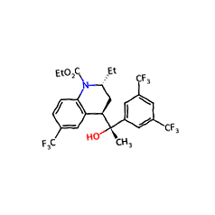 CCOC(=O)N1c2ccc(C(F)(F)F)cc2[C@H]([C@@](C)(O)c2cc(C(F)(F)F)cc(C(F)(F)F)c2)C[C@H]1CC